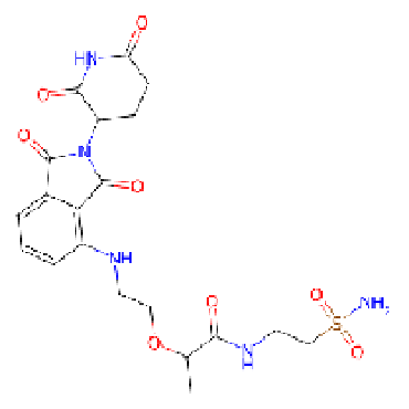 CC(OCCNc1cccc2c1C(=O)N(C1CCC(=O)NC1=O)C2=O)C(=O)NCCS(N)(=O)=O